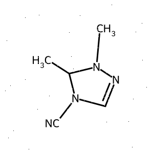 CC1N(C#N)C=NN1C